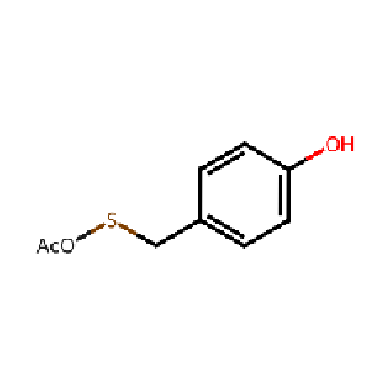 CC(=O)OSCc1ccc(O)cc1